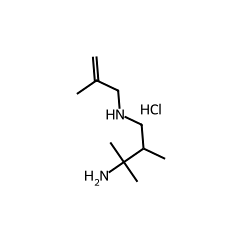 C=C(C)CNCC(C)C(C)(C)N.Cl